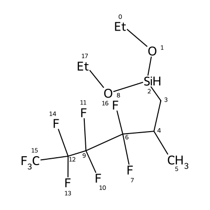 CCO[SiH](CC(C)C(F)(F)C(F)(F)C(F)(F)C(F)(F)F)OCC